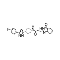 O=C(CCc1nc2ccccc2c(=O)[nH]1)N[C@H]1CC[C@H](c2nnc(-c3ccc(F)cc3)o2)CC1